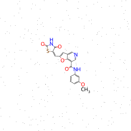 COc1cccc(NC(=O)c2cncc3cc(/C=C4/SC(=O)NC4=O)oc23)c1